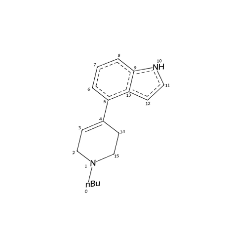 CCCCN1CC=C(c2cccc3[nH]ccc23)CC1